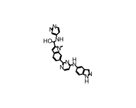 Cn1c(C(O)Nc2ccnnc2)cc2ccc(-c3nccc(Nc4ccc5[nH]ncc5c4)n3)cc21